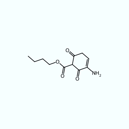 CCCCOC(=O)C1C(=O)CC=C(N)C1=O